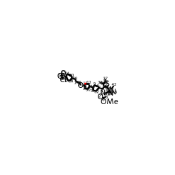 COC(=O)C[C@@H]1N=C(c2ccc(-c3ccc(OCCCc4ccc(S(=O)(=O)Cl)cc4)cc3)cc2)c2c(sc(C)c2C)-n2c(C)nnc21